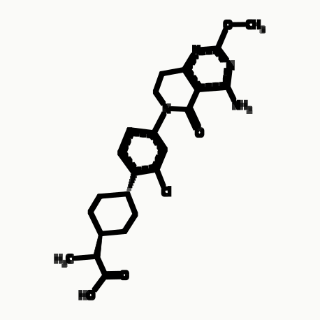 COc1nc(N)c2c(n1)CCN(c1ccc([C@H]3CC[C@H](C(C)C(=O)O)CC3)c(Cl)c1)C2=O